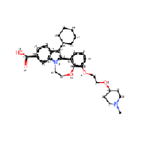 CN1CCC(OCCOc2cccc3c2OCCn2c-3c(C3CCCCC3)c3ccc(C(=O)O)cc32)CC1